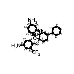 CC(C)(C)C1(C(C)(C)C)C=C(c2ccccc2)C=CC1(Oc1ccc(N)cc1C(F)(F)F)Oc1ccc(N)cc1C(F)(F)F